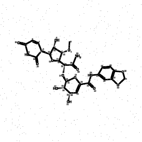 CO[C@H]1[C@@H](O)[C@H](n2ccc(=O)[nH]c2=O)O[C@@H]1[C@@H](O[C@H]1OC(C(=O)Nc2ccc3c(c2)OCO3)=C[C@H](O)[C@@H]1O)C(N)=O